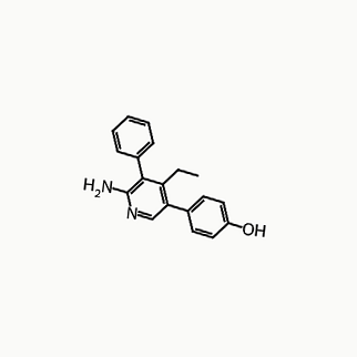 CCc1c(-c2ccc(O)cc2)cnc(N)c1-c1ccccc1